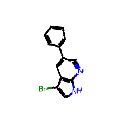 Brc1c[nH]c2ncc(-c3ccccc3)cc12